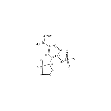 COC(=O)c1ccc(OS(C)(=O)=O)c([C@@H]2CCCC2(C)C)c1